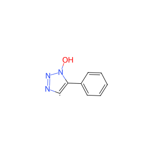 On1nn[c]c1-c1ccccc1